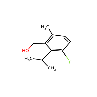 Cc1ccc(F)c(C(C)C)c1CO